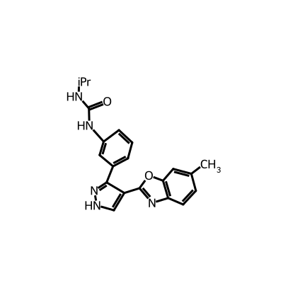 Cc1ccc2nc(-c3c[nH]nc3-c3cccc(NC(=O)NC(C)C)c3)oc2c1